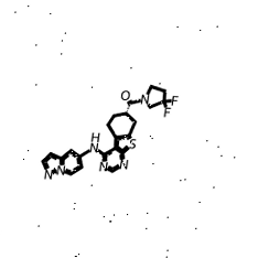 O=C([C@H]1CCc2c(sc3ncnc(Nc4ccn5nccc5c4)c23)C1)N1CCC(F)(F)C1